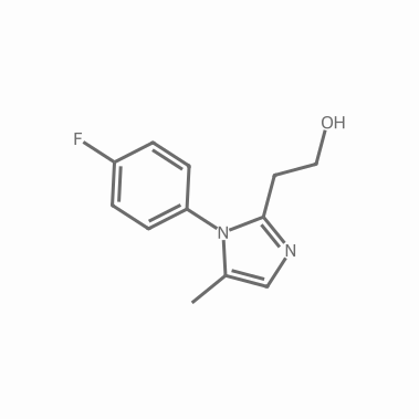 Cc1cnc(CCO)n1-c1ccc(F)cc1